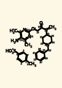 Cc1ccc(S(=O)(=O)O)cc1.Cc1nc(OCC(=O)N(C)C2CCN(Cc3ccccc3)CC2)nc(C)c1N